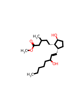 CCCCCC(O)/C=C/[C@H]1CC[C@H](O)[C@H]1CCC(C)CC(=O)OC